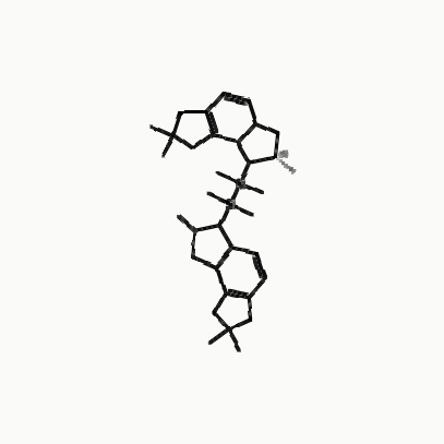 CC1CC2C3=C(C=CC2C1[Si](C)(C)[Si](C)(C)C1C2C4=C(C=CC2C[C@@H]1C)CC(C)(C)C4)CC(C)(C)C3